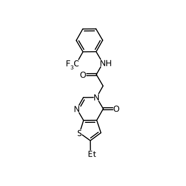 CCc1cc2c(=O)n(CC(=O)Nc3ccccc3C(F)(F)F)cnc2s1